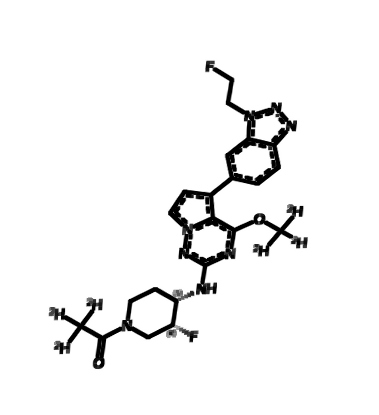 [2H]C([2H])([2H])Oc1nc(N[C@H]2CCN(C(=O)C([2H])([2H])[2H])C[C@H]2F)nn2ccc(-c3ccc4nnn(CCF)c4c3)c12